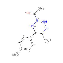 COC(=O)N1NNC(C(=O)O)C(c2ccc(OC)cc2)N1